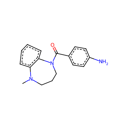 CN1CCCN(C(=O)c2ccc(N)cc2)c2ccccc21